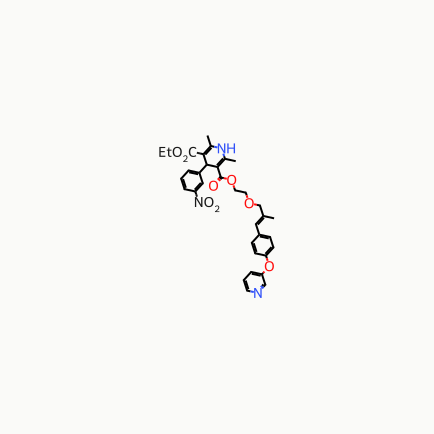 CCOC(=O)C1=C(C)NC(C)=C(C(=O)OCCOCC(C)=Cc2ccc(Oc3cccnc3)cc2)C1c1cccc([N+](=O)[O-])c1